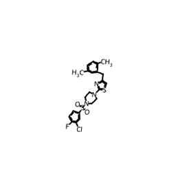 Cc1ccc(C)c(Cc2csc(N3CCN(S(=O)(=O)c4ccc(F)c(Cl)c4)CC3)n2)c1